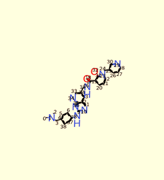 CN(C)Cc1ccc(Nc2ncc3cc(CNC(=O)c4cccn(Cc5cccnc5)c4=O)cnc3n2)cc1